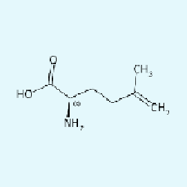 C=C(C)CC[C@@H](N)C(=O)O